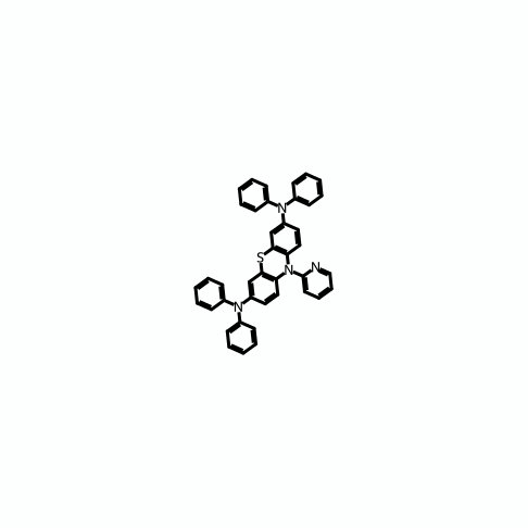 c1ccc(N(c2ccccc2)c2ccc3c(c2)Sc2cc(N(c4ccccc4)c4ccccc4)ccc2N3c2ccccn2)cc1